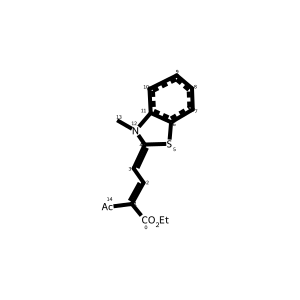 CCOC(=O)/C(=C/C=C1\Sc2ccccc2N1C)C(C)=O